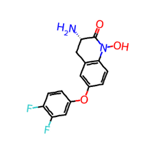 N[C@H]1Cc2cc(Oc3ccc(F)c(F)c3)ccc2N(O)C1=O